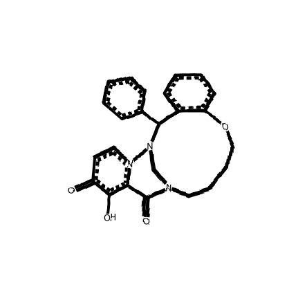 O=C1c2c(O)c(=O)ccn2N2CN1CCCCOc1ccccc1C2c1ccccc1